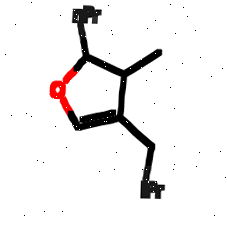 CCCC1OC=C(CC(C)C)C1C